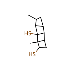 CC1CC2C1C1(S)C2C2CC(S)C21C